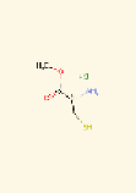 COC(=O)[C@H](N)CS.Cl